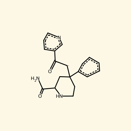 NC(=O)C1CC([CH]C(=O)c2cccnc2)(c2ccccc2)CCN1